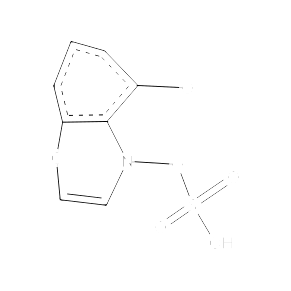 O=S(=O)(O)ON1C=CCc2cccc(O)c21